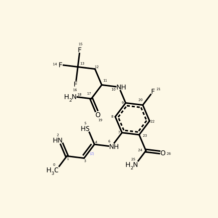 CC(=N)/C=C(\S)Nc1cc(NC(CC(F)(F)F)C(N)=O)c(F)cc1C(N)=O